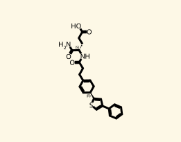 NC(=O)[C@H](CCC(=O)O)NC(=O)CCC1=CC[C@@H](c2cc(-c3ccccc3)cs2)C=C1